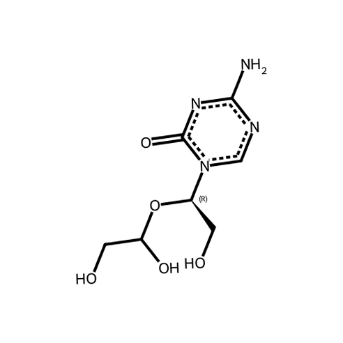 Nc1ncn([C@@H](CO)OC(O)CO)c(=O)n1